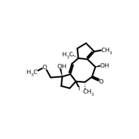 COC[C@@]1(O)CCC2(I)/C1=C\[C@@]1(C)CCC(C)=C1[C@@H](O)C(=O)[C@@H]2C